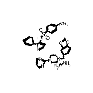 NN.Nc1ccc(S(=O)(=O)Nc2ccnn2-c2ccccc2)cc1.c1cnc(N2CCN(Cc3ccc4c(c3)OCO4)CC2)nc1